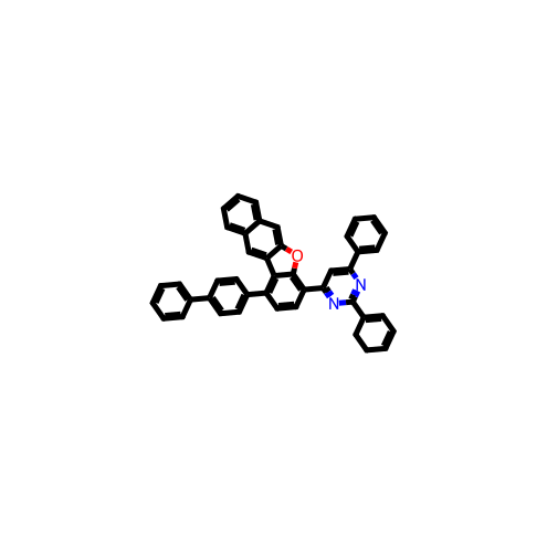 C1=CCCC(c2nc(-c3ccccc3)cc(-c3ccc(-c4ccc(-c5ccccc5)cc4)c4c3oc3cc5ccccc5cc34)n2)=C1